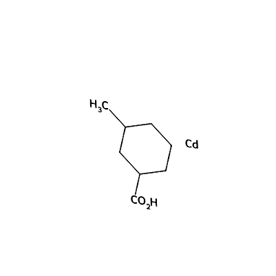 CC1CCCC(C(=O)O)C1.[Cd]